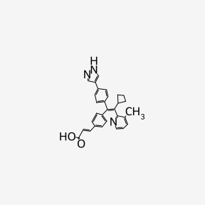 Cc1cccnc1/C(=C(\c1ccc(/C=C/C(=O)O)cc1)c1ccc(-c2cn[nH]c2)cc1)C1CCC1